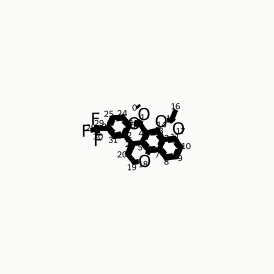 COC(=O)c1c2c(c3ccccc3c1OC(C)=O)OCC=C2c1cccc(C(F)(F)F)c1